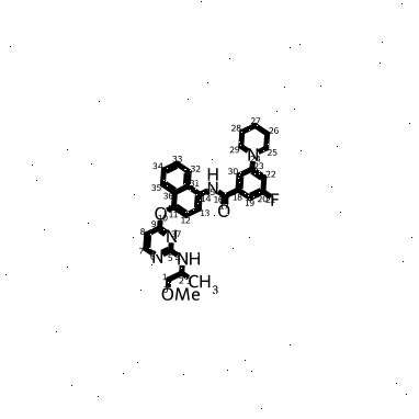 COCC(C)Nc1nccc(Oc2ccc(NC(=O)c3cc(F)cc(N4CCCCC4)c3)c3ccccc23)n1